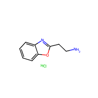 Cl.NCCc1nc2ccccc2o1